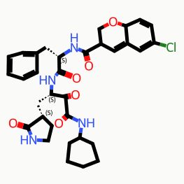 O=C(NC1CCCCC1)C(=O)[C@H](C[C@@H]1CCNC1=O)NC(=O)[C@H](Cc1ccccc1)NC(=O)C1C=C2C=C(Cl)C=CC2OC1